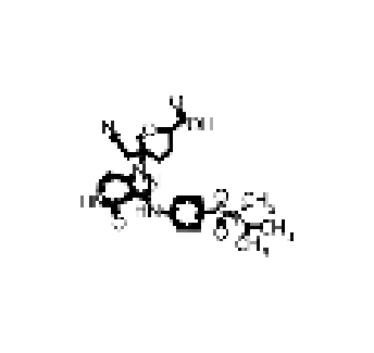 CC(C)N(C)S(=O)(=O)c1ccc(Nc2nn(C3(CC#N)CCC(C(=O)O)OC3)c3cc[nH]c(=O)c23)cc1